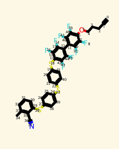 C#CCCCOc1c(F)c(F)c(-c2c(F)c(F)c(Sc3ccc(Sc4ccc(Sc5cccc(C)c5C#N)cc4)cc3)c(F)c2F)c(F)c1F